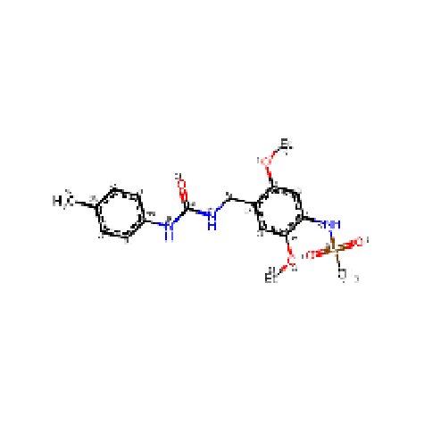 CCOc1cc(NS(C)(=O)=O)c(OCC)cc1CNC(=O)Nc1ccc(C)cc1